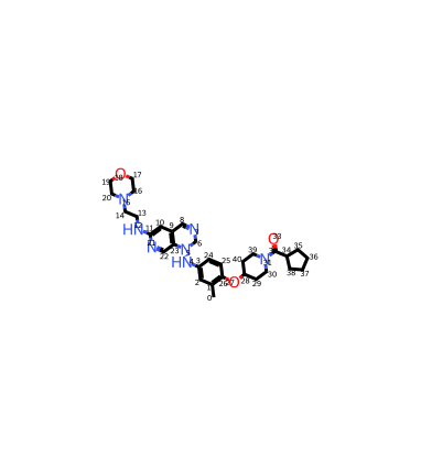 Cc1cc(NN2CN=Cc3cc(NCCN4CCOCC4)ncc32)ccc1OC1CCN(C(=O)C2CCCC2)CC1